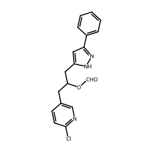 O=COC(Cc1ccc(Cl)nc1)Cc1cc(-c2ccccc2)n[nH]1